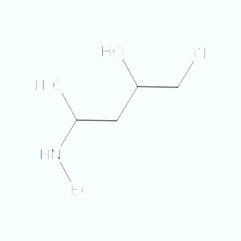 CCNC(C)CC(O)CCl